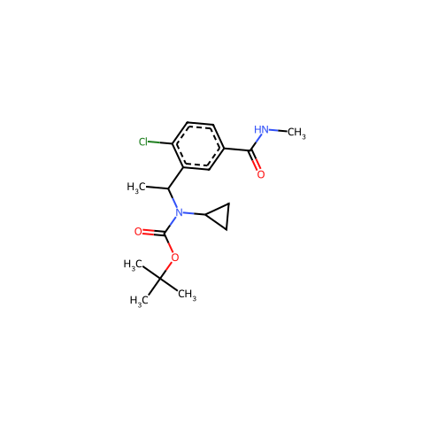 CNC(=O)c1ccc(Cl)c(C(C)N(C(=O)OC(C)(C)C)C2CC2)c1